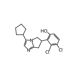 Oc1ccc(Cl)c(Cl)c1C1Cc2ncc(C3CCCC3)n2C1